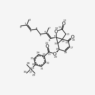 CC(C)=CCC/C(C)=C/[C@@]12OC(=O)CC13C(=O)C=C[C@@H](OC(=O)c1ccc([N+](C)(C)C)cc1)C32